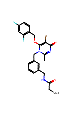 COCC(=O)NCc1cccc(Cn2c(C)nc(=O)c(Br)c2OCc2ccc(F)cc2F)c1